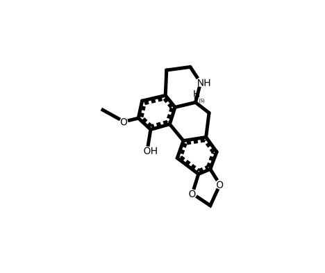 COc1cc2c3c(c1O)-c1cc4c(cc1C[C@@H]3NCC2)OCO4